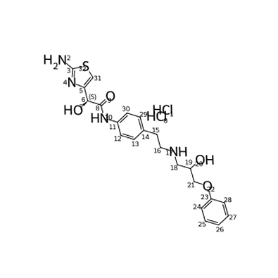 Cl.Cl.Nc1nc([C@H](O)C(=O)Nc2ccc(CCNCC(O)COc3ccccc3)cc2)cs1